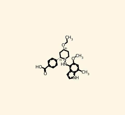 CCO[C@@H]1CCN(Nc2c(OC)cc(C)c3[nH]ccc23)[C@H](c2ccc(C(=O)O)cc2)C1